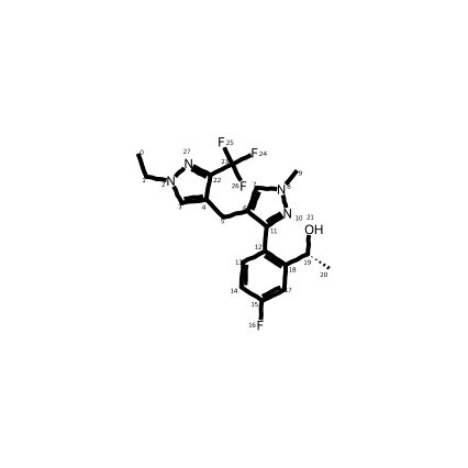 CCn1cc(Cc2cn(C)nc2-c2ccc(F)cc2[C@@H](C)O)c(C(F)(F)F)n1